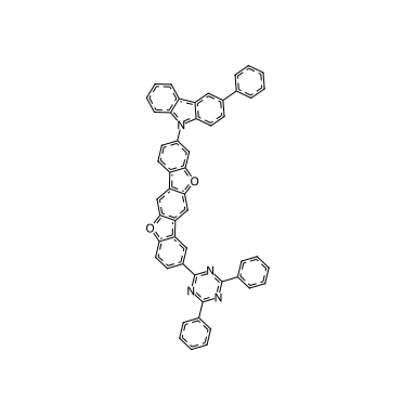 c1ccc(-c2ccc3c(c2)c2ccccc2n3-c2ccc3c(c2)oc2cc4c(cc23)oc2ccc(-c3nc(-c5ccccc5)nc(-c5ccccc5)n3)cc24)cc1